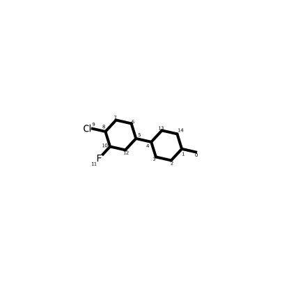 CC1CCC(C2CCC(Cl)C(F)C2)CC1